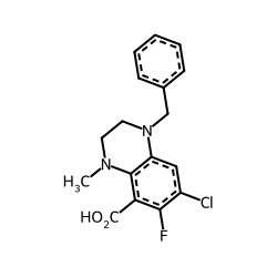 CN1CCN(Cc2ccccc2)c2cc(Cl)c(F)c(C(=O)O)c21